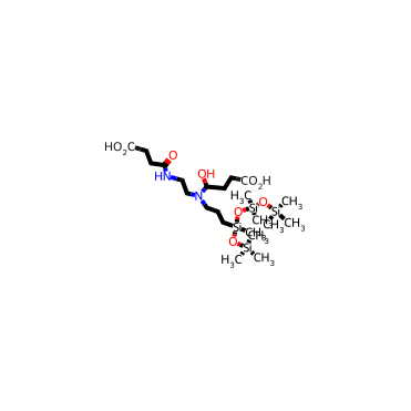 C[Si](C)(C)O[Si](C)(C)O[Si](C)(CCCN(CCNC(=O)CCC(=O)O)C(O)CCC(=O)O)O[Si](C)(C)C